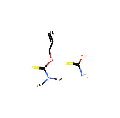 C=CCOC(=S)N(CCC)CCC.NC(O)=S